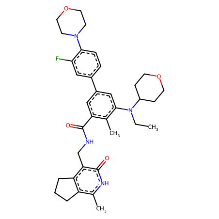 CCN(c1cc(-c2ccc(N3CCOCC3)c(F)c2)cc(C(=O)NCc2c3c(c(C)[nH]c2=O)CCC3)c1C)C1CCOCC1